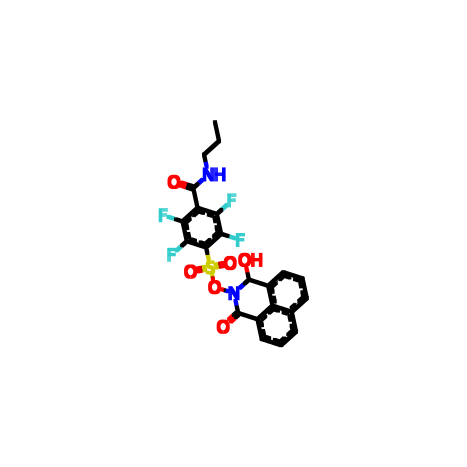 CCCNC(=O)c1c(F)c(F)c(S(=O)(=O)ON2C(=O)c3cccc4cccc(c34)C2O)c(F)c1F